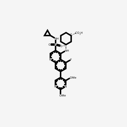 COc1ncc(-c2cc(F)c3c(N[C@@H]4CCC[C@H](C(=O)O)C4)c(S(=O)(=O)NC4CC4)cnc3c2)c(OC)n1